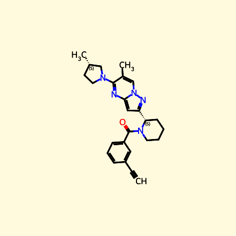 C#Cc1cccc(C(=O)N2CCCC[C@H]2c2cc3nc(N4CC[C@H](C)C4)c(C)cn3n2)c1